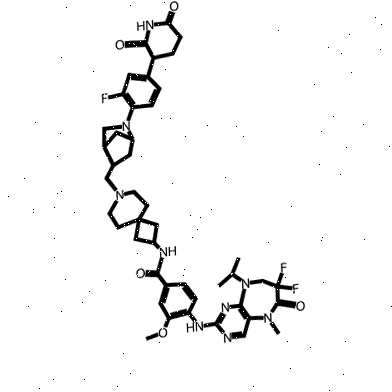 COc1cc(C(=O)NC2CC3(CCN(CC4CC5CC4CN5c4ccc(C5CCC(=O)NC5=O)cc4F)CC3)C2)ccc1Nc1ncc2c(n1)N(C(C)C)CC(F)(F)C(=O)N2C